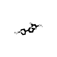 Cc1cc(=O)n2cc(C3=CCN(C)CC3)ccc2n1